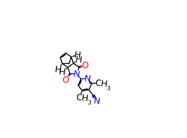 Cc1cc(N2C(=O)[C@@H]3[C@H](C2=O)[C@@H]2C=C[C@H]3C2)nc(C)c1C#N